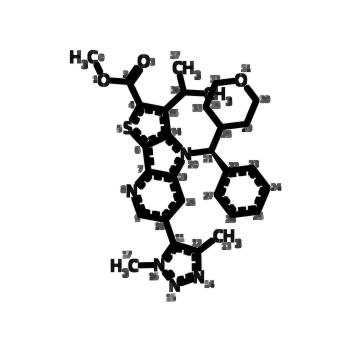 COC(=O)c1sc2c3ncc(-c4c(C)nnn4C)cc3n([C@H](c3ccccc3)C3CCOCC3)c2c1C(C)C